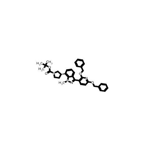 Cn1nc(-c2ccc(OCc3ccccc3)nc2OCc2ccccc2)c2cccc([C@H]3CCN(C(=O)OC(C)(C)C)C3)c21